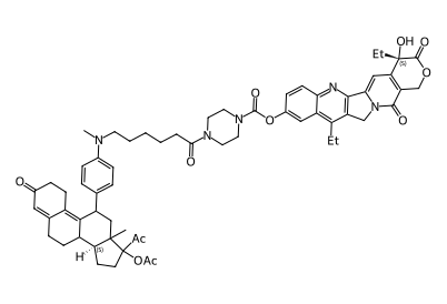 CCc1c2c(nc3ccc(OC(=O)N4CCN(C(=O)CCCCCN(C)c5ccc(C6CC7(C)[C@@H](CCC7(OC(C)=O)C(C)=O)C7CCC8=CC(=O)CCC8=C67)cc5)CC4)cc13)-c1cc3c(c(=O)n1C2)COC(=O)[C@]3(O)CC